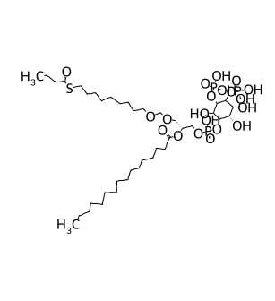 CCCCCCCCCCCCCCCC(=O)O[C@H](COCOCCCCCCCCCSC(=O)CCC)COP(=O)(O)OC1C(O)[C@H](OP(=O)(O)O)C(OP(=O)(O)O)[C@H](O)[C@@H]1O